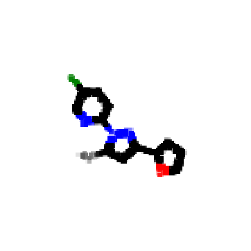 O=C(O)c1cc(-c2ccco2)nn1-c1ccc(Br)cn1